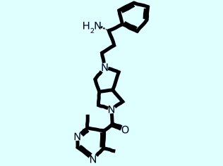 Cc1ncnc(C)c1C(=O)N1CC2CN(CC[C@H](N)c3ccccc3)CC2C1